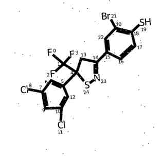 FC(F)(F)C1(c2cc(Cl)cc(Cl)c2)CC(c2ccc(S)c(Br)c2)=NS1